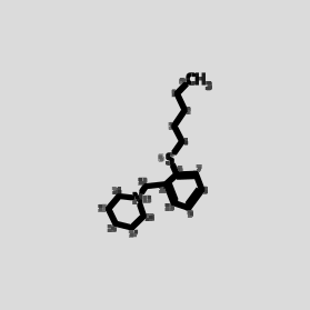 CCCCCSc1ccccc1CN1CCCCC1